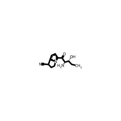 CC[C@@H](O)[C@H](N)C(=O)c1ccc2n1CCC2C#N